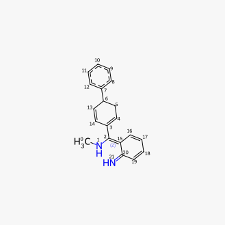 CN/C(C1=CCC(c2ccccc2)C=C1)=C1/C=CC=CC1=N